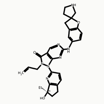 C=CCn1c(=O)c2cnc(Nc3ccc4c(c3)CC3(CCNC3)O4)nc2n1-c1ccc2c(n1)[C@@](O)(CC)CC2